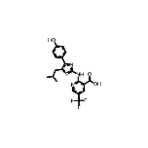 CC(C)Cc1sc(Nc2ncc(C(F)(F)F)cc2C(=O)O)nc1-c1ccc(O)cc1